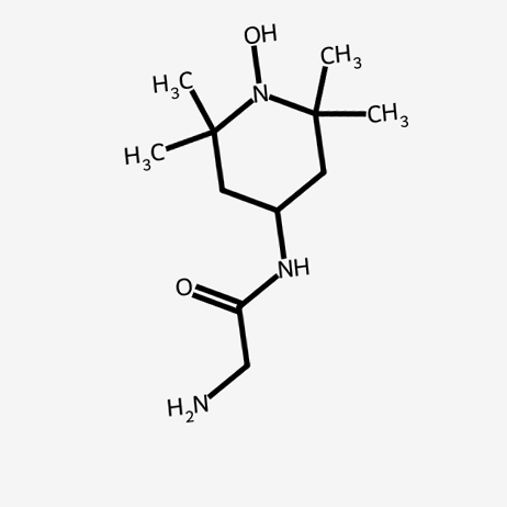 CC1(C)CC(NC(=O)CN)CC(C)(C)N1O